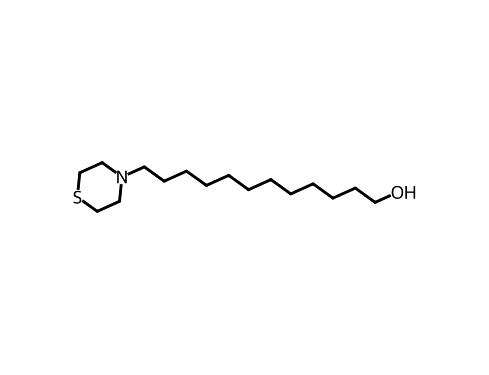 OCCCCCCCCCCCCN1CCSCC1